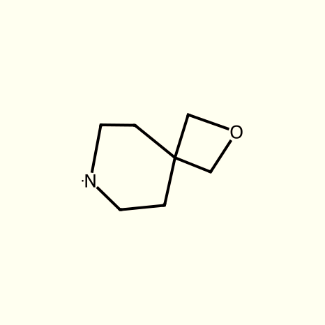 C1CC2(CC[N]1)COC2